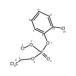 O=P(OCl)(OCC(Cl)(Cl)Cl)Oc1ccccc1Cl